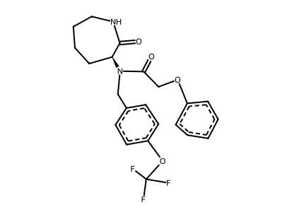 O=C1NCCCC[C@@H]1N(Cc1ccc(OC(F)(F)F)cc1)C(=O)COc1ccccc1